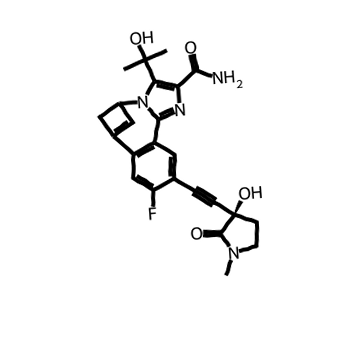 CN1CC[C@@](O)(C#Cc2cc3c(cc2F)C2=CC(C2)n2c-3nc(C(N)=O)c2C(C)(C)O)C1=O